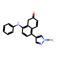 Cn1cc(-c2ccc(Nc3ccccc3)c3c2C=CC(=O)C3)cn1